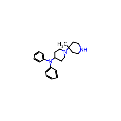 CC1(N2CCC(N(c3ccccc3)c3ccccc3)CC2)CCNCC1